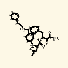 Cc1cc(C(=O)NC(Cc2ccccc2)C(=O)C(N)=O)n(-c2ccc(CNCCc3ccccc3)cc2)n1